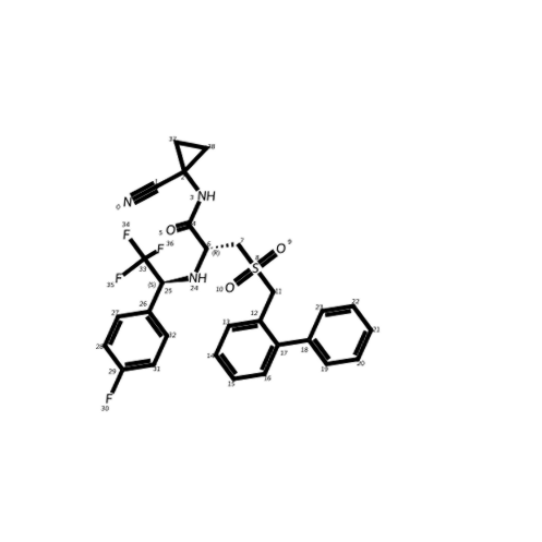 N#CC1(NC(=O)[C@H](CS(=O)(=O)Cc2ccccc2-c2ccccc2)N[C@@H](c2ccc(F)cc2)C(F)(F)F)CC1